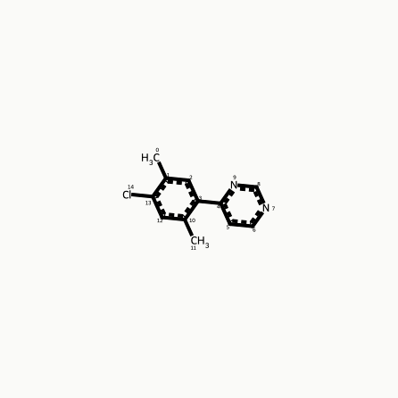 Cc1cc(-c2ccncn2)c(C)cc1Cl